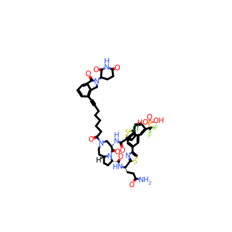 NC(=O)CC[C@H](NC(=O)[C@@H]1CC[C@@H]2CCN(C(=O)CCCCCC#Cc3cccc4c3CN(C3CCC(=O)NC3=O)C4=O)C[C@H](NC(=O)c3cc4cc(C(F)(F)P(=O)(O)O)ccc4s3)C(=O)N21)c1nc(-c2ccc(Cl)cc2)cs1